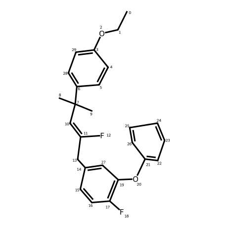 CCOc1ccc(C(C)(C)/C=C(\F)Cc2ccc(F)c(Oc3ccccc3)c2)cc1